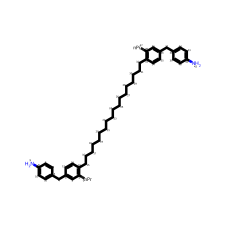 CCCc1cc(Cc2ccc(N)cc2)ccc1CCCCCCCCCCCCCCCCCCc1ccc(Cc2ccc(N)cc2)cc1CCC